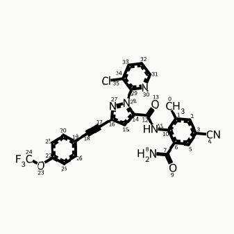 Cc1cc(C#N)cc(C(N)=O)c1NC(=O)c1cc(C#Cc2ccc(OC(F)(F)F)cc2)nn1-c1ncccc1Cl